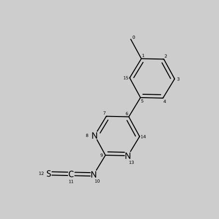 Cc1cccc(-c2cnc(N=C=S)nc2)c1